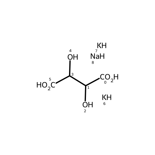 O=C(O)C(O)C(O)C(=O)O.[KH].[KH].[NaH]